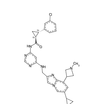 CN1CC(c2cc(C3CC3)cn3cc(CNc4cc(NC(=O)[C@H]5C[C@@H]5c5cccc(Cl)c5)ncn4)nc23)C1